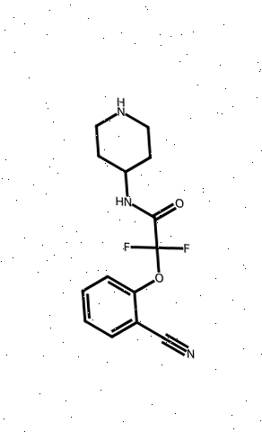 N#Cc1ccccc1OC(F)(F)C(=O)NC1CCNCC1